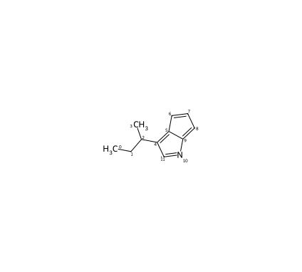 CCC(C)C1=C2C=CC=C2N=[C]1